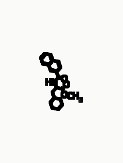 COC(=O)[C@@H](CC1CCCCC1)NC(=O)c1ccc2ccccc2c1